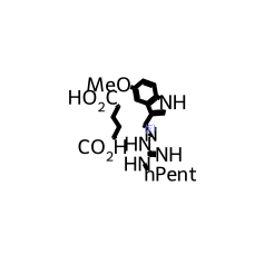 CCCCCNC(=N)N/N=C/c1c[nH]c2ccc(OC)cc12.O=C(O)CCCCC(=O)O